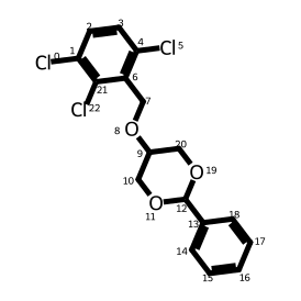 Clc1ccc(Cl)c(COC2COC(c3ccccc3)OC2)c1Cl